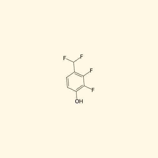 Oc1ccc(C(F)F)c(F)c1F